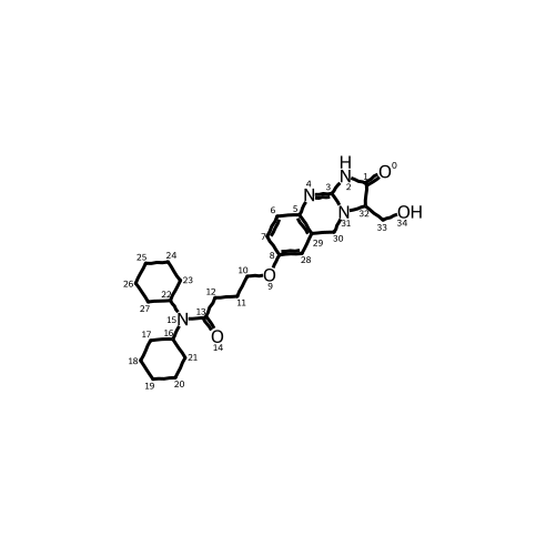 O=C1NC2=Nc3ccc(OCCCC(=O)N(C4CCCCC4)C4CCCCC4)cc3CN2C1CO